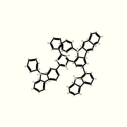 c1ccc(-c2nc(-c3ccc4c5ccccc5n(-c5ccccc5)c4c3)nc(-c3cc(-c4cccc5c4oc4ccccc45)cc4c5cc6ccccc6cc5n(-c5ccccc5)c34)n2)cc1